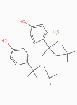 CC(C)(C)CC(C)(C)c1ccc(O)cc1.CC(C)(C)CC(C)(C)c1ccc(O)cc1.S